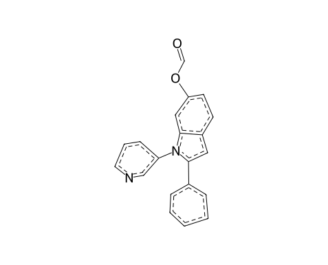 O=COc1ccc2cc(-c3ccccc3)n(-c3cccnc3)c2c1